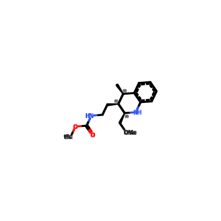 COC[C@@H]1Nc2ccccc2[C@H](C)[C@@H]1CCNC(=O)OC(C)(C)C